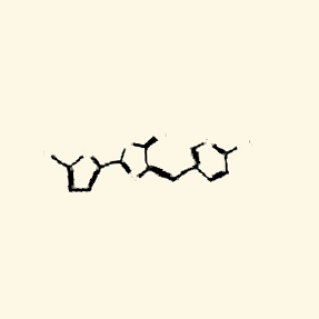 COc1ccc(C=C2N=C(c3ccc(F)s3)OC2=O)cn1